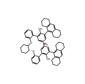 Cc1cc(-c2ccccc2OC2CCCC[C@H]2Oc2ccccc2-c2cc(C)cc(-c3c4c(cc5c3CCCC5)CCCC4)c2O)c(O)c(-c2c3c(cc4c2CCCC4)CCCC3)c1